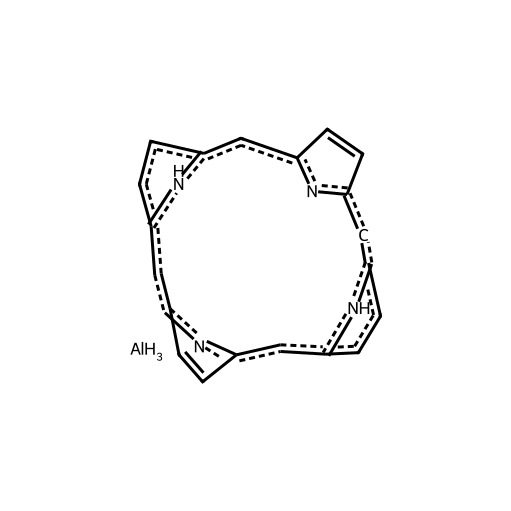 C1=Cc2cc3ccc(cc4nc(cc5ccc(cc1n2)[nH]5)C=C4)[nH]3.[AlH3]